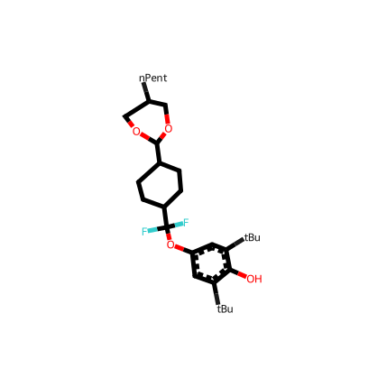 CCCCCC1COC(C2CCC(C(F)(F)Oc3cc(C(C)(C)C)c(O)c(C(C)(C)C)c3)CC2)OC1